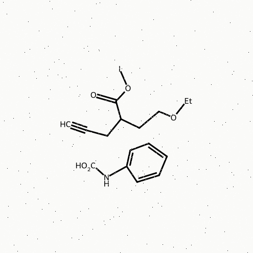 C#CCC(CCOCC)C(=O)OI.O=C(O)Nc1ccccc1